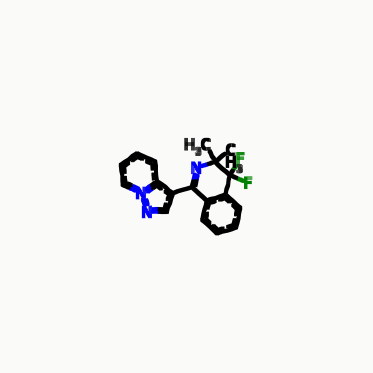 CC1(C)N=C(c2cnn3ccccc23)c2ccccc2C1(F)F